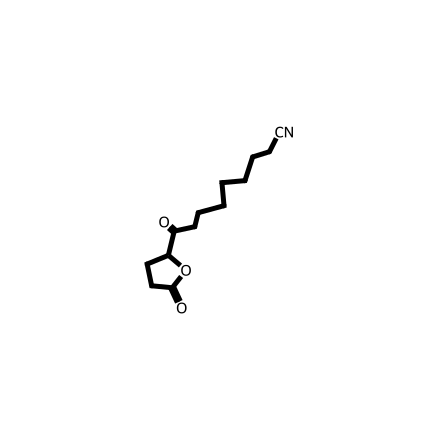 N#CCCCCCCCC(=O)C1CCC(=O)O1